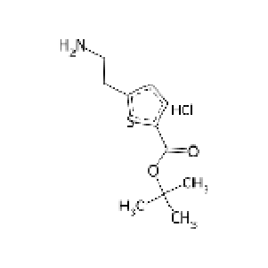 CC(C)(C)OC(=O)c1ccc(CCN)s1.Cl